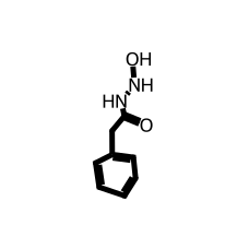 O=C(Cc1ccccc1)NNO